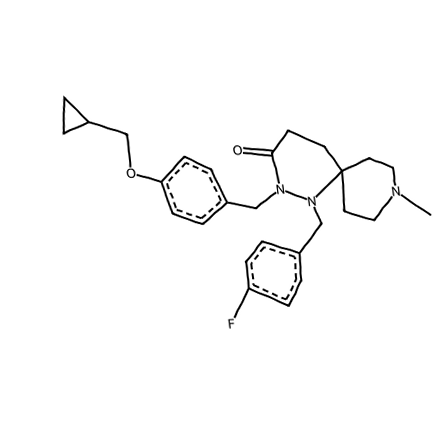 CN1CCC2(CCC(=O)N(Cc3ccc(OCC4CC4)cc3)N2Cc2ccc(F)cc2)CC1